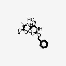 COC(=O)[C@H](C)NC(=O)[C@@H](CO)NC(=O)OCc1ccccc1